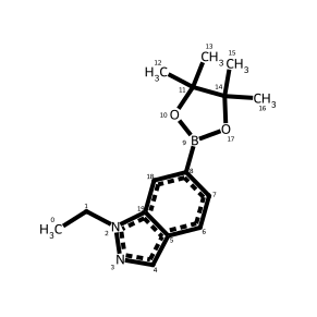 CCn1ncc2ccc(B3OC(C)(C)C(C)(C)O3)cc21